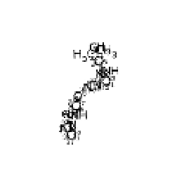 CC(C)(C)c1ccc(-c2nc3c(N4CCN(CCOc5ccc(NC(=O)c6cnc7ccccc7n6)cc5)CC4)cccc3[nH]2)cc1